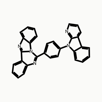 c1ccc2c(c1)nc(-c1ccc(-n3c4ccccc4c4cccnc43)cc1)n1c3ccccc3nc21